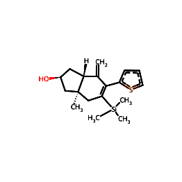 C=C1C(c2cccs2)=C([Si](C)(C)C)C[C@@]2(C)C[C@@H](O)C[C@H]12